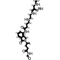 CC(CCC(=O)NC=O)N1Cc2c(NC(=O)CCCNCCN/C=C(/CNC=O)N=N)cccc2C1=O